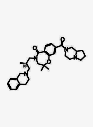 C[C@H](CN1CCc2ccccc2C1)CN1CC(C)(C)Oc2cc(C(=O)N3CCN4CCCC4C3)ccc2C1=O